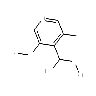 COc1cncc(N)c1C(C)OC